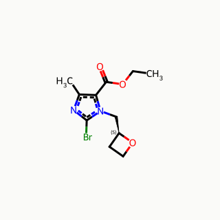 CCOC(=O)c1c(C)nc(Br)n1C[C@@H]1CCO1